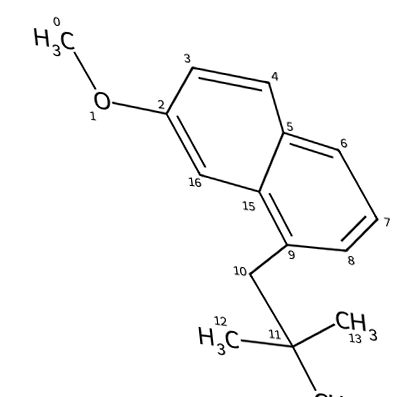 COc1ccc2cccc(CC(C)(C)C)c2c1